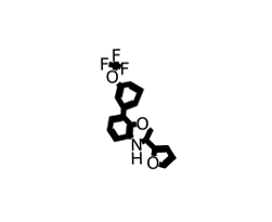 FC(F)(F)Oc1cccc(-c2cccc3c2OCC(c2ccco2)N3)c1